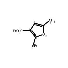 CCCc1oc(C)cc1C(=O)OCC